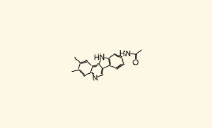 CC(=O)Nc1ccc2c(c1)[nH]c1c3cc(C)c(C)cc3ncc21